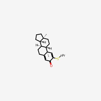 CCCSC1=C[C@@]2(C)C(=CC1=O)CC[C@H]1[C@@H]3CCC[C@@]3(C)CC[C@@H]12